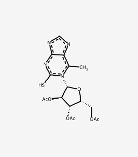 CC(=O)OC[C@H]1O[C@@H](n2c(S)nc3ncnc-3c2C)[C@H](OC(C)=O)[C@H]1OC(C)=O